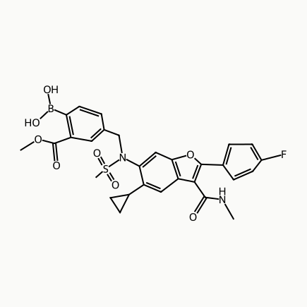 CNC(=O)c1c(-c2ccc(F)cc2)oc2cc(N(Cc3ccc(B(O)O)c(C(=O)OC)c3)S(C)(=O)=O)c(C3CC3)cc12